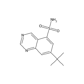 CC(C)(C)c1cc(S(N)(=O)=O)c2cncnc2c1